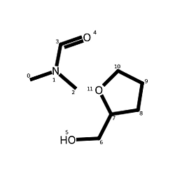 CN(C)C=O.OCC1CCCO1